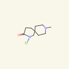 CN1CCC2(CCC(=O)N(Cl)C2)CC1